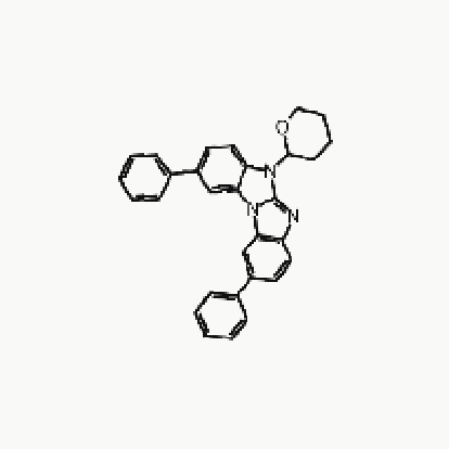 c1ccc(-c2ccc3nc4n(C5CCCCO5)c5ccc(-c6ccccc6)cc5n4c3c2)cc1